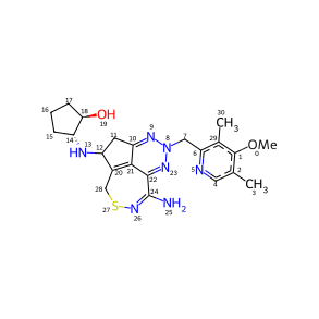 COc1c(C)cnc(CN2N=C3CC(N[C@@H]4CCC[C@H]4O)C4=C3C(=N2)C(N)=NSC4)c1C